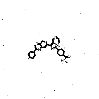 CNC(=O)C1CCC(C2=NC(c3ccc4ncc(-c5ccccc5)nc4c3)=C3C=NC=C[N+]23N)CC1